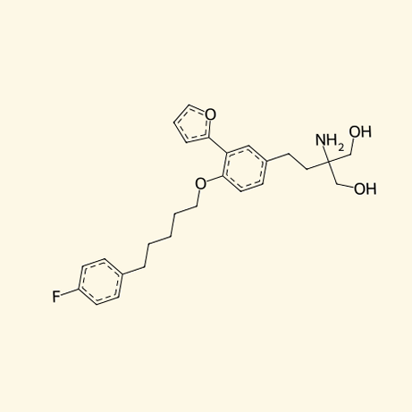 NC(CO)(CO)CCc1ccc(OCCCCCc2ccc(F)cc2)c(-c2ccco2)c1